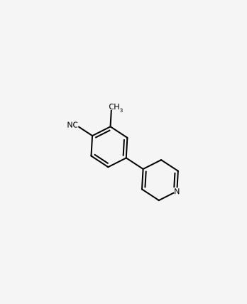 Cc1cc(C2=CCN=CC2)ccc1C#N